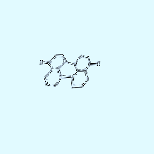 O=c1ccc2c3ccc(=O)c4cccc(c5cccc1c52)c43